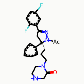 CC(=O)N1N=C(c2cc(F)ccc2F)C[C@]1(CCCN1CCNCC1=O)c1ccccc1